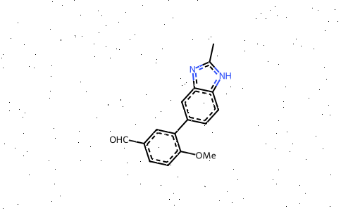 COc1ccc(C=O)cc1-c1ccc2[nH]c(C)nc2c1